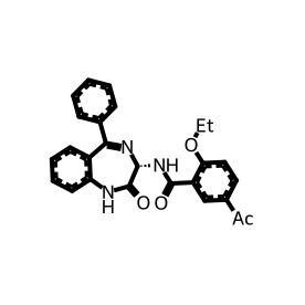 CCOc1ccc(C(C)=O)cc1C(=O)N[C@H]1N=C(c2ccccc2)c2ccccc2NC1=O